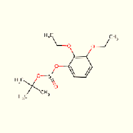 CCOc1cccc(O[Si](=O)OC(C)(C)C)c1OCC